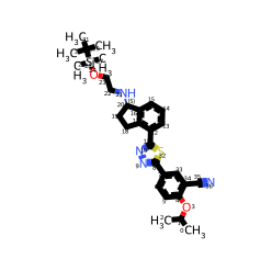 CC(C)Oc1ccc(-c2nnc(-c3cccc4c3CC[C@@H]4NCCO[Si](C)(C)C(C)(C)C)s2)cc1C#N